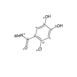 CNC(=O)c1cc(O)c(O)cc1Cl